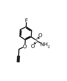 C#CCOc1ccc(F)cc1S(N)(=O)=O